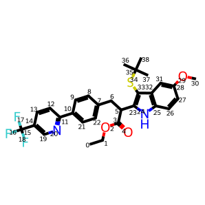 CCOC(=O)C(Cc1ccc(-c2ccc(C(F)(F)F)cn2)cc1)c1[nH]c2ccc(OC)cc2c1SC(C)(C)C